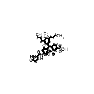 C=c1c(CCCC)cc2c(c1CCCC)Oc1cc(NC(=O)C3CCC(=O)N3)ccc1C=2c1ccc(S(=O)(=O)O)cc1S(=O)(=O)O